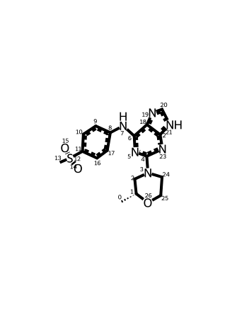 C[C@@H]1CN(c2nc(Nc3ccc(S(C)(=O)=O)cc3)c3nc[nH]c3n2)CCO1